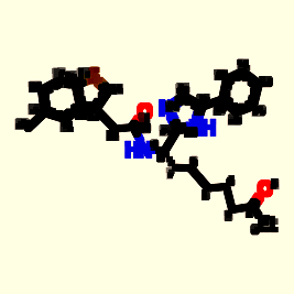 CCC(=O)CCCCC[C@H](NC(=O)Cc1csc2ccc(C)cc12)c1ncc(-c2ccccc2)[nH]1